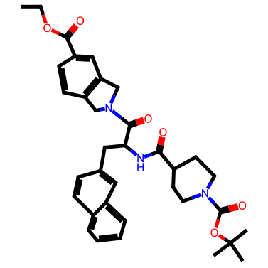 CCOC(=O)c1ccc2c(c1)CN(C(=O)C(Cc1ccc3ccccc3c1)NC(=O)C1CCN(C(=O)OC(C)(C)C)CC1)C2